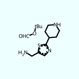 CC(C)(C)OC=O.NCc1cnc(C2CCNCC2)s1